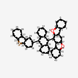 c1ccc2c(c1)oc1c(-c3c4ccccc4c(-c4ccc5sc6ccccc6c5c4)c4ccccc34)c3c(cc12)oc1ccccc13